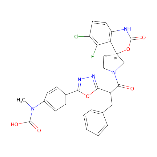 CN(C(=O)O)c1ccc(-c2nnc(C(Cc3ccccc3)C(=O)N3CC[C@@]4(C3)OC(=O)Nc3ccc(Cl)c(F)c34)o2)cc1